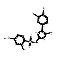 CC(=O)Nc1cnc(S(=O)(=O)Nc2nc(-c3ccc(Cl)c(F)c3)c(Br)s2)c(C)c1